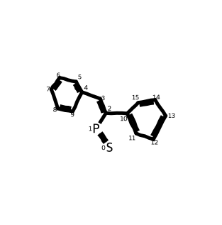 S=PC(=Cc1ccccc1)c1ccccc1